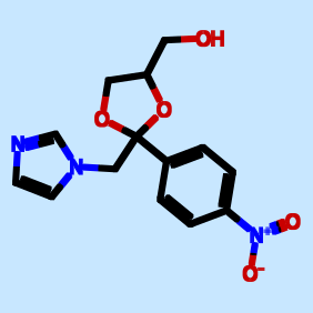 O=[N+]([O-])c1ccc(C2(Cn3ccnc3)OCC(CO)O2)cc1